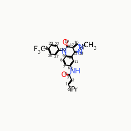 CC(C)/C=C/C(=O)Nc1ccc2c(c1)c1nn(C)cc1c(=O)n2-c1ccc(C(F)(F)F)cc1